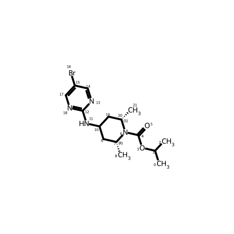 CC(C)OC(=O)N1[C@H](C)CC(Nc2ncc(Br)cn2)C[C@@H]1C